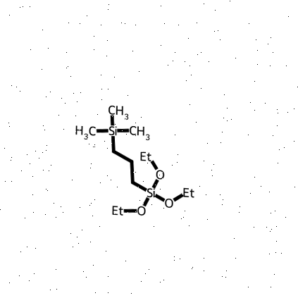 CCO[Si](CCC[Si](C)(C)C)(OCC)OCC